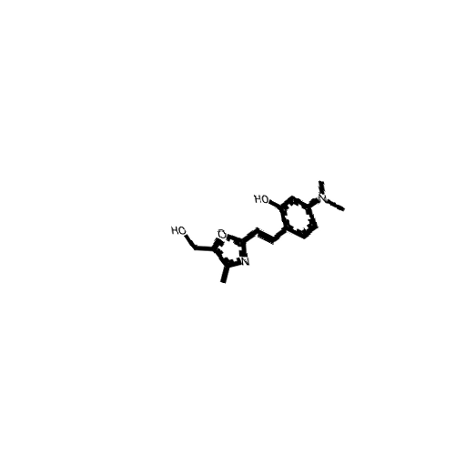 Cc1nc(C=Cc2ccc(N(C)C)cc2O)oc1CO